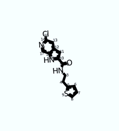 O=C(NCCc1cccs1)c1cc2cc(Cl)ncc2[nH]1